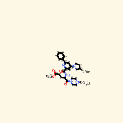 CCOC(=O)N1CCN(C(=O)C(CCC(=O)OC(C)(C)C)NC(=O)c2cc(N3CCC(OC)C3)cc(-c3ccccc3)n2)CC1